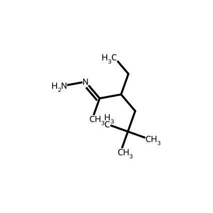 CCC(CC(C)(C)C)C(C)=NN